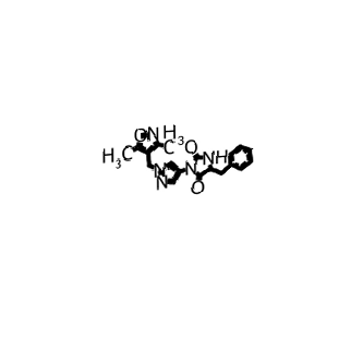 Cc1noc(C)c1Cn1cc(N2C(=O)NC(Cc3ccccc3)C2=O)cn1